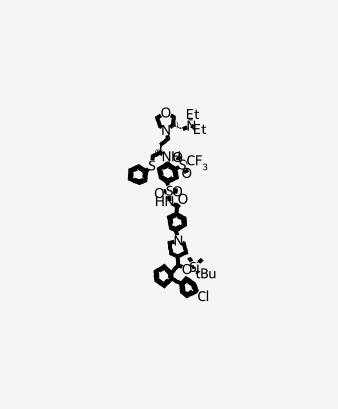 CCN(CC)C[C@H]1COCCN1CC[C@H](CSc1ccccc1)Nc1ccc(S(=O)(=O)NC(=O)c2ccc(N3CCC(C(O[Si](C)(C)C(C)(C)C)c4ccccc4-c4ccc(Cl)cc4)CC3)cc2)cc1S(=O)(=O)C(F)(F)F